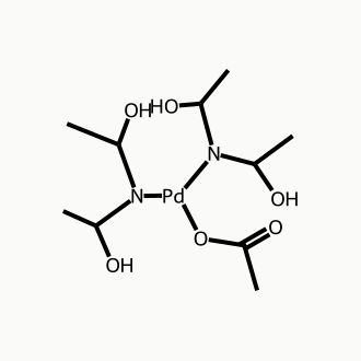 CC(=O)[O][Pd]([N](C(C)O)C(C)O)[N](C(C)O)C(C)O